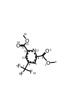 COC(=O)c1cc(C(F)(F)F)cc(C(=O)OC)n1